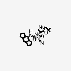 CC1(C)Cn2ncc([S@@](=O)(=NC(=O)Nc3c4c(cc5c3CCC5)CCC4)NC#N)c2O1